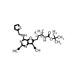 C#Cc1nc(NCc2cccs2)c2oc(C[C@H](F)[C@@H](C)NC(=O)OC(C)(C)C)c(C#C)c2n1